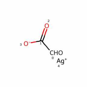 O=CC(=O)[O-].[Ag+]